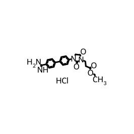 CCOC(=O)CCN1C(=O)CN(c2ccc(-c3ccc(C(=N)N)cc3)cc2)C1=O.Cl